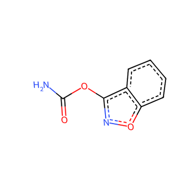 NC(=O)Oc1noc2ccccc12